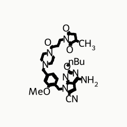 CCCCOc1nc(N)c2cc(C#N)n(Cc3ccc(CN4CCN(C(=O)CCN5C(=O)CC(C)C5=O)CC4)cc3OC)c2n1